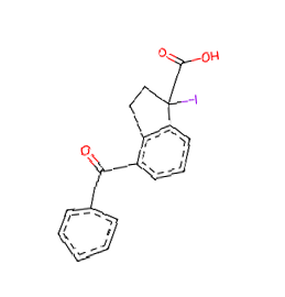 O=C(c1ccccc1)c1cccc2c1CCC2(I)C(=O)O